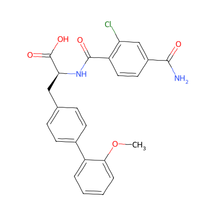 COc1ccccc1-c1ccc(C[C@H](NC(=O)c2ccc(C(N)=O)cc2Cl)C(=O)O)cc1